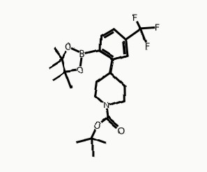 CC(C)(C)OC(=O)N1CCC(c2cc(C(F)(F)F)ccc2B2OC(C)(C)C(C)(C)O2)CC1